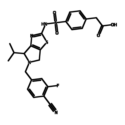 CC(C)C1c2nc(NS(=O)(=O)c3ccc(CC(=O)O)cc3)sc2CN1Cc1ccc(C#N)c(F)c1